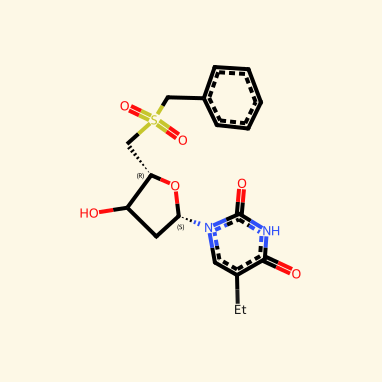 CCc1cn([C@@H]2CC(O)[C@H](CS(=O)(=O)Cc3ccccc3)O2)c(=O)[nH]c1=O